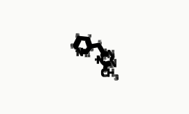 CC1=NN=C(Cc2cccnc2)[N]1